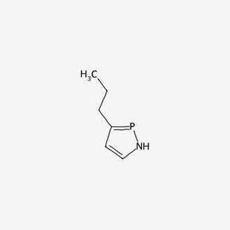 CCCc1cc[nH]p1